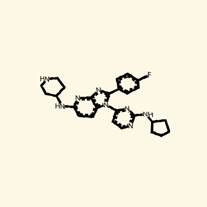 Fc1ccc(-c2nc3nc(NC4CCNCC4)ccc3n2-c2ccnc(NC3CCCC3)n2)cc1